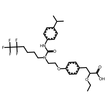 CCOC(Cc1ccc(OCCN(CCCCC(F)(F)C(F)(F)F)C(=O)Nc2ccc(C(C)C)cc2)cc1)C(=O)O